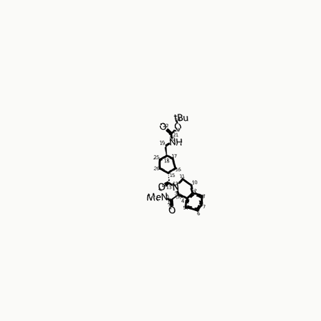 CNC(=O)[C@@H]1c2ccccc2CCN1C(=O)[C@H]1CC[C@H](CNC(=O)OC(C)(C)C)CC1